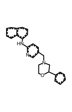 c1ccc(C2CN(Cc3ccc(Nc4cccc5ccccc45)nc3)CCO2)cc1